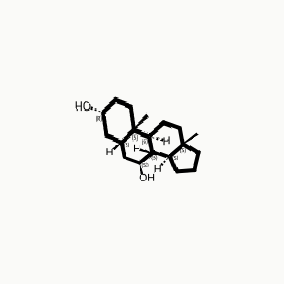 C[C@@]12CCC[C@H]1[C@@H]1[C@@H](O)C[C@@H]3C[C@H](O)CC[C@]3(C)[C@H]1CC2